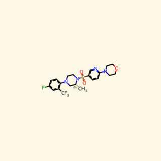 C[C@@H]1CN(c2ccc(F)cc2C(F)(F)F)CCN1S(=O)(=O)c1ccc(N2CCOCC2)nc1